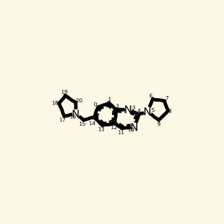 c1cc2nc(N3CCCC3)ncc2cc1CN1CCCC1